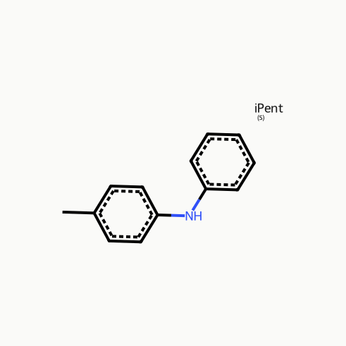 CCC[C@H](C)c1ccc(Nc2ccc(C)cc2)cc1